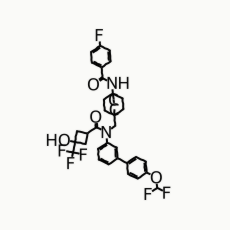 O=C(NC12CCC(CN(C(=O)C3CC(O)(C(F)(F)F)C3)c3cccc(-c4ccc(OC(F)F)cc4)c3)(CC1)CC2)c1ccc(F)cc1